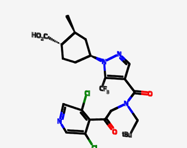 C[C@H]1C[C@@H](n2ncc(C(=O)N(CC(=O)c3c(Cl)cncc3Cl)CC(C)(C)C)c2C(F)(F)F)CC[C@@H]1C(=O)O